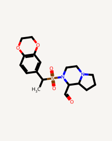 CC(c1ccc2c(c1)OCCO2)S(=O)(=O)N1CCN2CCCC2C1C=O